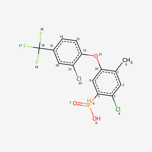 Cc1cc(Cl)c([PH](=O)O)cc1Oc1ccc(C(F)(F)F)cc1Cl